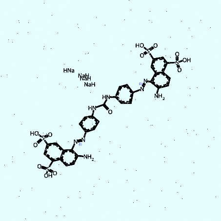 Nc1ccc2c(S(=O)(=O)O)cc(S(=O)(=O)O)cc2c1/N=N/c1ccc(NC(=O)Nc2ccc(/N=N/c3c(N)ccc4c(S(=O)(=O)O)cc(S(=O)(=O)O)cc34)cc2)cc1.[NaH].[NaH].[NaH].[NaH]